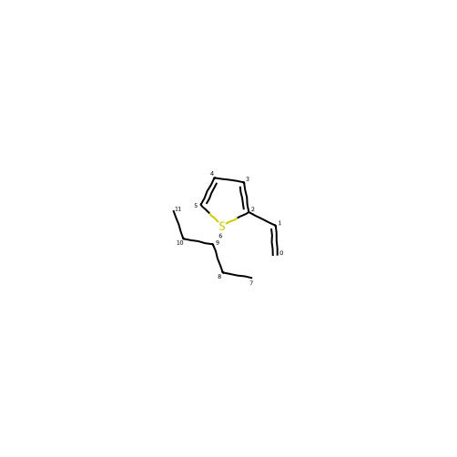 C=Cc1cccs1.CCCCC